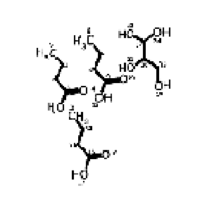 CCCC(=O)O.CCCC(=O)O.CCCC(=O)O.OCC(O)C(O)O